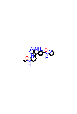 C=CC(=O)N[C@@H]1CCCc2c(-c3ccc(C(=O)Nc4ccccn4)cc3)c3c(N)ncnc3n2C1